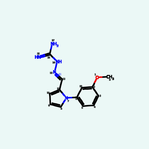 COc1cccc(-n2cccc2/C=N/NC(=N)N)c1